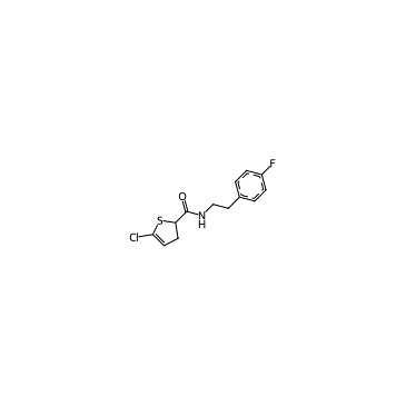 O=C(NCCc1ccc(F)cc1)C1CC=C(Cl)S1